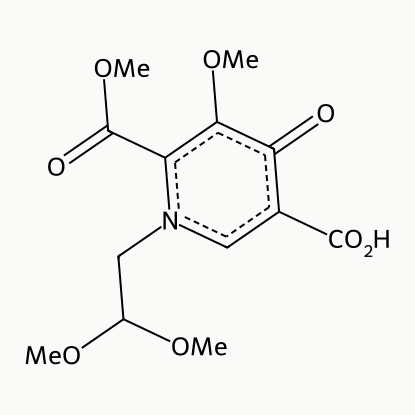 COC(=O)c1c(OC)c(=O)c(C(=O)O)cn1CC(OC)OC